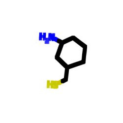 NC1CCCC(CS)C1